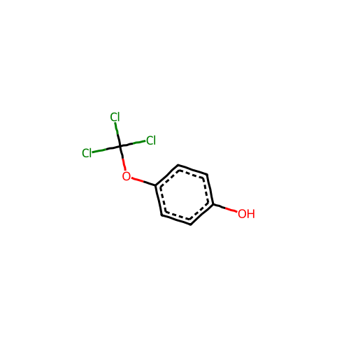 Oc1ccc(OC(Cl)(Cl)Cl)cc1